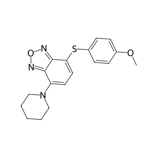 COc1ccc(Sc2ccc(N3CCCCC3)c3nonc23)cc1